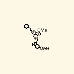 COC(=O)C1CN(CCc2ccccc2)CC12CCN(Cc1cn(C)c3ccc(OC)cc13)CC2